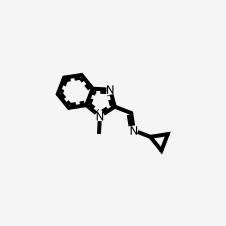 Cn1c(/C=N/C2CC2)nc2ccccc21